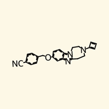 N#Cc1ccc(COc2ccc3c(c2)nc2n3CCN(C3=CC=C3)CC2)cc1